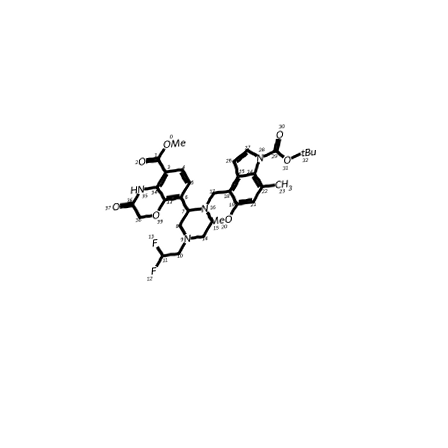 COC(=O)c1ccc(C2CN(CC(F)F)CCN2Cc2c(OC)cc(C)c3c2ccn3C(=O)OC(C)(C)C)c2c1NC(=O)CO2